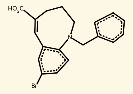 O=C(O)C1=Cc2cc(Br)ccc2N(Cc2ccccc2)CCC1